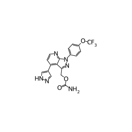 NC(=O)OCc1nn(-c2ccc(OC(F)(F)F)cc2)c2nccc(-c3cn[nH]c3)c12